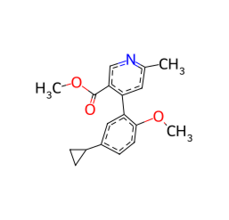 COC(=O)c1cnc(C)cc1-c1cc(C2CC2)ccc1OC